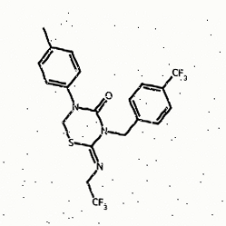 Cc1ccc(N2CSC(=NCC(F)(F)F)N(Cc3ccc(C(F)(F)F)cc3)C2=O)cc1